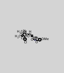 COc1ccc(C(=O)/C=C/C(=O)N[C@H]2C[C@H](NC(=O)C[C@@H]3N=C(c4ccc(Cl)cc4)c4c(sc(C)c4C)-n4c(C)nnc43)C2)c(Br)c1